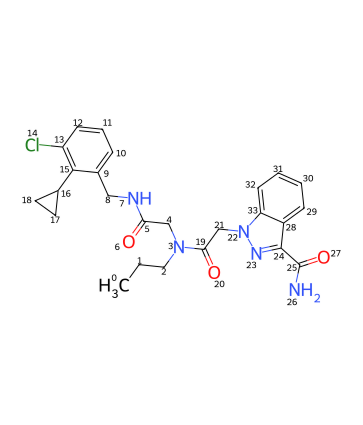 CCCN(CC(=O)NCc1cccc(Cl)c1C1CC1)C(=O)Cn1nc(C(N)=O)c2ccccc21